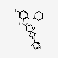 Fc1ccc(OC2CCCCC2)c(N[C@H]2COC3(C2)CN(c2nnco2)C3)c1